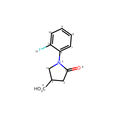 O=C(O)C1CC(=O)N(c2ccccc2F)C1